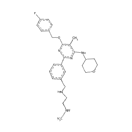 CNCCNCc1cccc(-c2nc(NC3CCOCC3)c(C)c(OCc3ccc(F)cc3)n2)c1